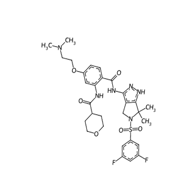 CN(C)CCOc1ccc(C(=O)Nc2n[nH]c3c2CN(S(=O)(=O)c2cc(F)cc(F)c2)C3(C)C)c(NC(=O)C2CCOCC2)c1